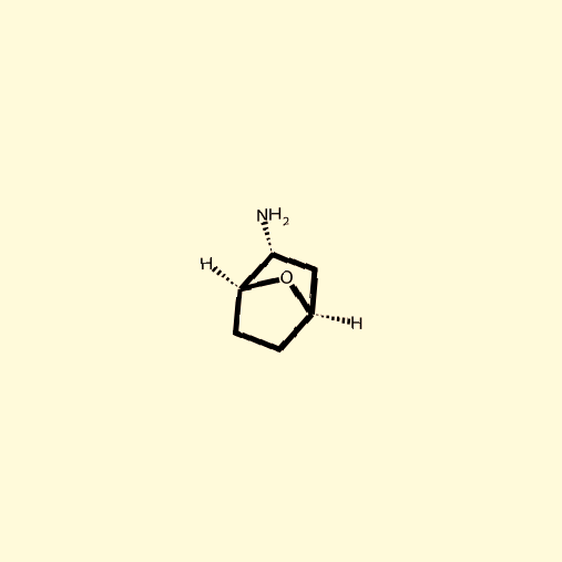 N[C@@H]1C[C@H]2CC[C@@H]1O2